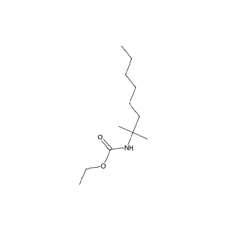 CCCCCCC(C)(C)NC(=O)OCC